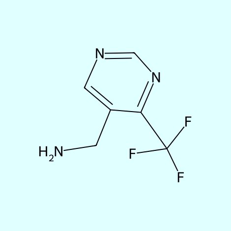 NCc1cncnc1C(F)(F)F